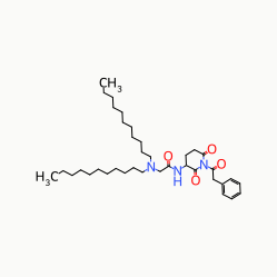 CCCCCCCCCCCN(CCCCCCCCCCC)CC(=O)NC1CCC(=O)N(C(=O)Cc2ccccc2)C1=O